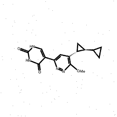 COc1nnc(-c2c[nH]c(=O)[nH]c2=O)cc1[C@@H]1C[C@H]1C1CC1